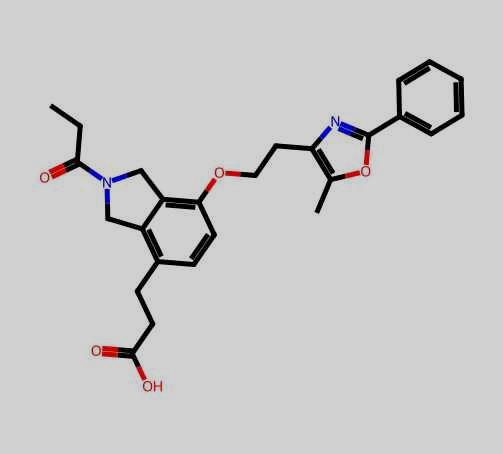 CCC(=O)N1Cc2c(CCC(=O)O)ccc(OCCc3nc(-c4ccccc4)oc3C)c2C1